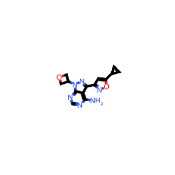 Nc1ncnc2c1c(-c1cc(C3CC3)on1)nn2C1COC1